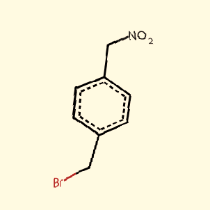 O=[N+]([O-])Cc1ccc(CBr)cc1